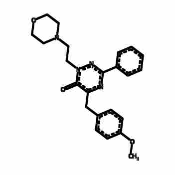 COc1ccc(Cc2nc(-c3ccccc3)nn(CCN3CCOCC3)c2=O)cc1